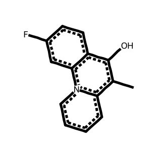 Cc1c(O)c2ccc(F)cc2[n+]2ccccc12